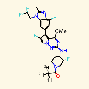 [2H]C([2H])([2H])C(=O)N1CC[C@H](Nc2nc(OC)c3c(-c4cc(F)c5nc(C)n(CC(F)F)c5c4)c(F)cn3n2)[C@H](F)C1